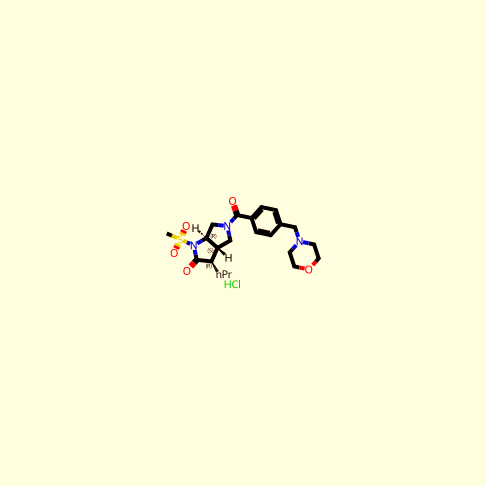 CCC[C@H]1C(=O)N(S(C)(=O)=O)[C@H]2CN(C(=O)c3ccc(CN4CCOCC4)cc3)C[C@H]12.Cl